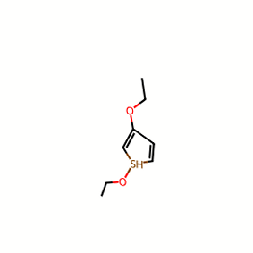 CCOC1=C[SH](OCC)C=C1